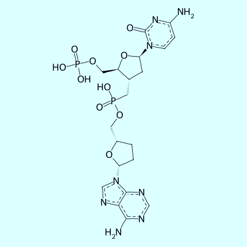 Nc1ccn([C@H]2C[C@H](CP(=O)(O)OC[C@@H]3CC[C@H](n4cnc5c(N)ncnc54)O3)[C@@H](COP(=O)(O)O)O2)c(=O)n1